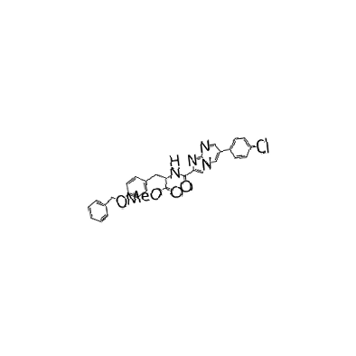 COC(=O)C(Cc1ccc(OCc2ccccc2)cc1)NC(=O)c1cn2cc(-c3ccc(Cl)cc3)cnc2n1